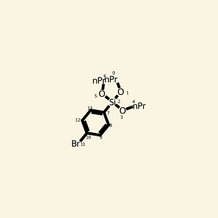 CCCO[Si](OCCC)(OCCC)c1ccc(Br)cc1